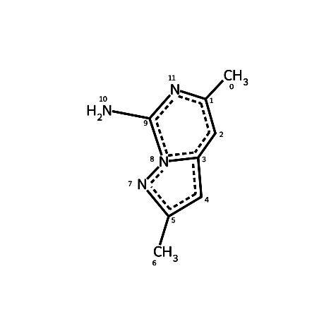 Cc1cc2cc(C)nn2c(N)n1